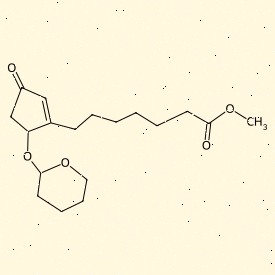 COC(=O)CCCCCCC1=CC(=O)CC1OC1CCCCO1